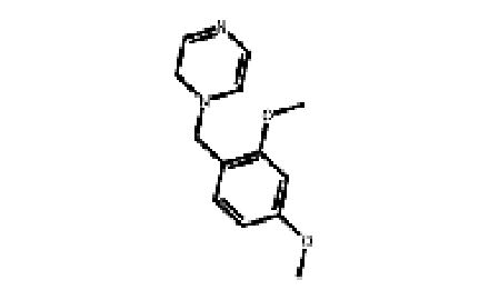 COc1ccc(CN2C=CN=CC2)c(OC)c1